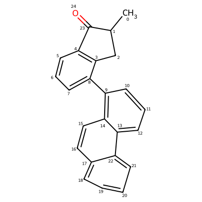 CC1Cc2c(cccc2-c2cccc3c2ccc2ccccc23)C1=O